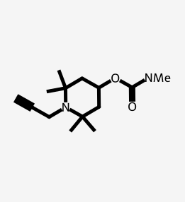 C#CCN1C(C)(C)CC(OC(=O)NC)CC1(C)C